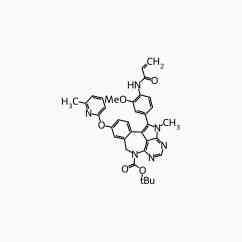 C=CC(=O)Nc1ccc(-c2c3c4c(ncnc4n2C)N(C(=O)OC(C)(C)C)Cc2cc(Oc4cccc(C)n4)ccc2-3)cc1OC